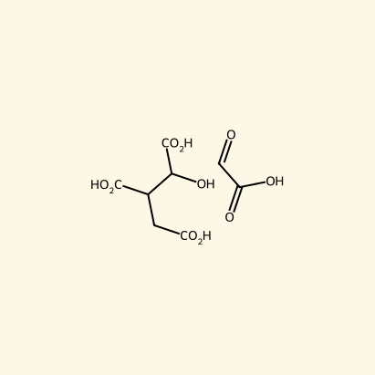 O=C(O)CC(C(=O)O)C(O)C(=O)O.O=CC(=O)O